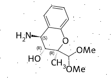 COC(OC)[C@]1(C)Oc2ccccc2[C@H](N)[C@H]1O